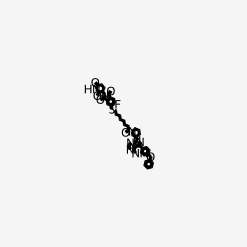 Nc1ncnc2c1c(-c1ccc(Oc3ccccc3)cc1)nn2C1CCCN(C(=O)CCCCCCCSc2cc3c(cc2F)C(=O)N(C2CCC(=O)NC2=O)C3=O)C1